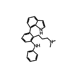 CN(C)CCCc1c(Nc2ccccc2)cccc1-c1cccc2cc[nH]c12